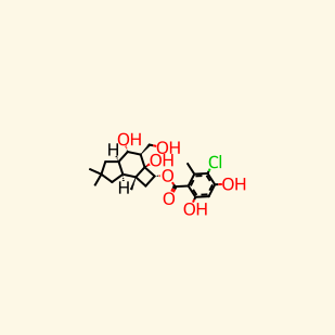 Cc1c(Cl)c(O)cc(O)c1C(=O)O[C@@H]1C[C@]2(C)[C@H]3CC(C)(C)C[C@H]3[C@H](O)[C@@H](CO)[C@]12O